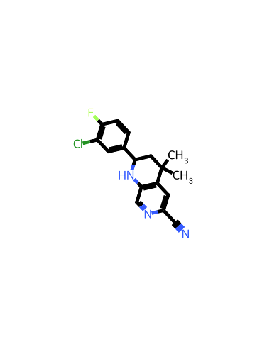 CC1(C)CC(c2ccc(F)c(Cl)c2)Nc2cnc(C#N)cc21